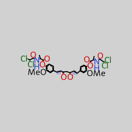 COc1cc(/C=C/C(=O)CC(=O)/C=C/c2ccc(OC(=O)C(C)NC(=O)C(Cl)Cl)c(OC)c2)ccc1OC(=O)C(C)NC(=O)C(Cl)Cl